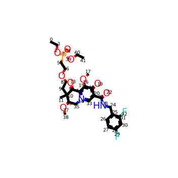 CCOP(=O)(CCOCCC1(C)C(=O)c2c(OC)c(=O)c(C(=O)NCc3ccc(F)cc3F)cn2CC1OC)OCC